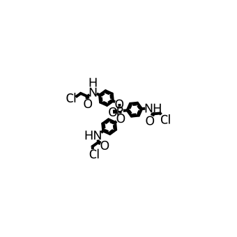 O=C(CCl)Nc1ccc(OP(=O)(Oc2ccc(NC(=O)CCl)cc2)c2ccc(NC(=O)CCl)cc2)cc1